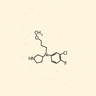 COCCCN(c1ccc(F)c(Cl)c1)C1CCNC1